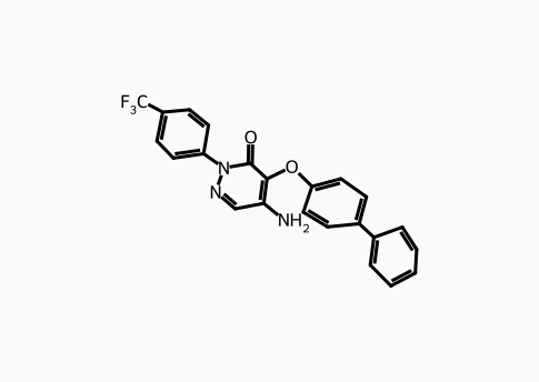 Nc1cnn(-c2ccc(C(F)(F)F)cc2)c(=O)c1Oc1ccc(-c2ccccc2)cc1